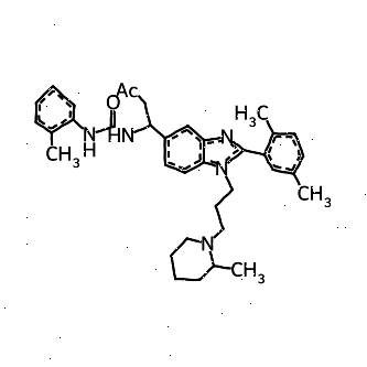 CC(=O)CC(NC(=O)Nc1ccccc1C)c1ccc2c(c1)nc(-c1cc(C)ccc1C)n2CCCN1CCCCC1C